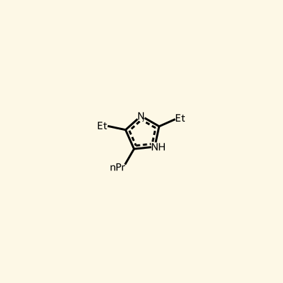 CCCc1[nH]c(CC)nc1CC